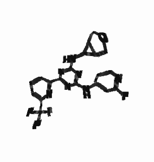 Fc1cc(Nc2nc(NC3C4COCC43)nc(-c3cccc(C(F)(F)F)n3)n2)ccn1